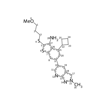 COCCCSc1sc2cc(-c3cnc4nn(C)cc4c3)cc(C3CCC3)c2c1N